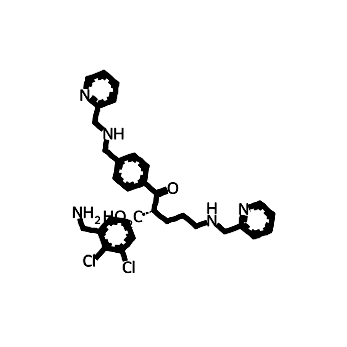 NCc1cccc(Cl)c1Cl.O=C(O)[C@@H](CCCNCc1ccccn1)C(=O)c1ccc(CNCc2ccccn2)cc1